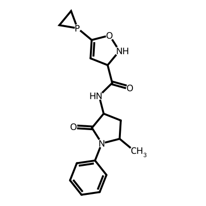 CC1CC(NC(=O)C2C=C(P3CC3)ON2)C(=O)N1c1ccccc1